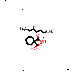 CCCCC(O)CC.O=C(O)C1(C(=O)O)CCCCC1